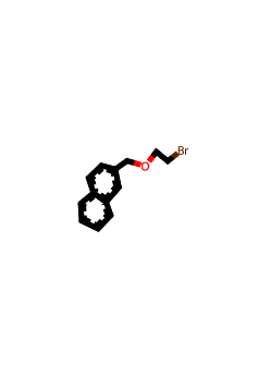 BrCCOCc1ccc2ccccc2c1